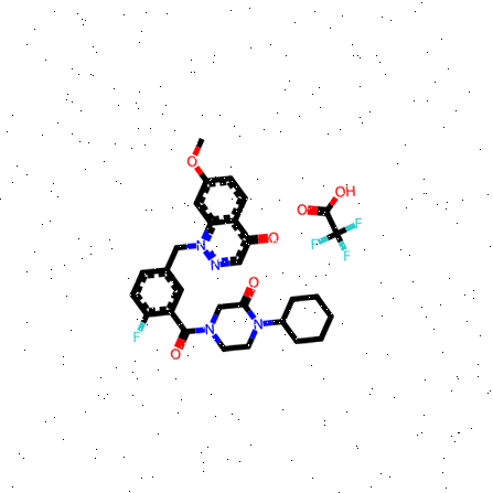 COc1ccc2c(=O)cnn(Cc3ccc(F)c(C(=O)N4CCN(C5CCCCC5)C(=O)C4)c3)c2c1.O=C(O)C(F)(F)F